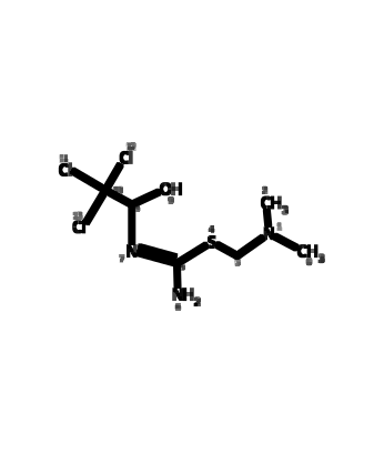 CN(C)CS/C(N)=N\C(O)C(Cl)(Cl)Cl